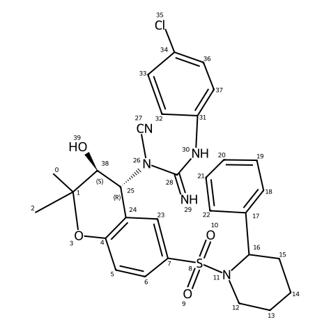 CC1(C)Oc2ccc(S(=O)(=O)N3CCCCC3c3ccccc3)cc2[C@@H](N(C#N)C(=N)Nc2ccc(Cl)cc2)[C@@H]1O